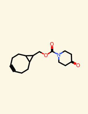 O=C1CCN(C(=O)OCC2C3CCC#CCCC32)CC1